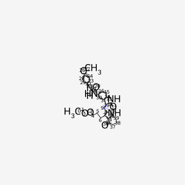 CCOOCCCc1c(/C=C2\C(=O)Nc3ccc(NC(=O)Nc4ccc(OC)cc4)cc32)[nH]c2c1C(=O)CCC2